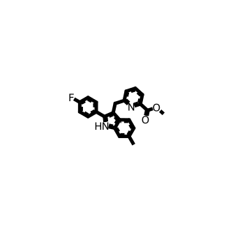 COC(=O)c1cccc(Cc2c(-c3ccc(F)cc3)[nH]c3cc(C)ccc23)n1